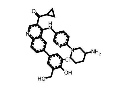 NC1CCCN(c2ccc(Nc3c(C(=O)C4CC4)cnc4ccc(-c5cc(Cl)c(O)c(CO)c5)cc34)cn2)C1